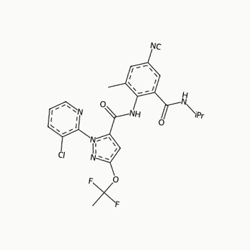 [C-]#[N+]c1cc(C)c(NC(=O)c2cc(OC(C)(F)F)nn2-c2ncccc2Cl)c(C(=O)NC(C)C)c1